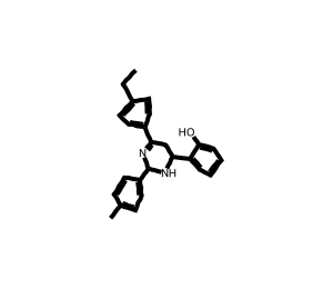 CCc1ccc(C2=NC(c3ccc(C)cc3)NC(c3ccccc3O)C2)cc1